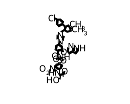 CC1(C)CCC(CN2CCN(c3ccc(C(=O)NS(=O)(=O)c4cc5c(c([N+](=O)[O-])c4)N[C@H](CO)CO5)c(Oc4cnc5[nH]ccc5c4)c3)CC2)=C(c2ccc(Cl)cc2)C1